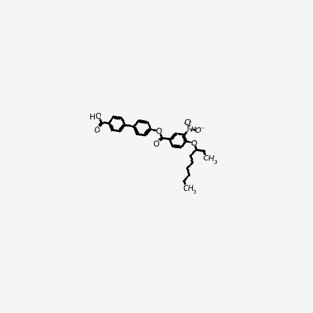 CCCCCCC(CC)Oc1ccc(C(=O)Oc2ccc(-c3ccc(C(=O)O)cc3)cc2)cc1[N+](=O)[O-]